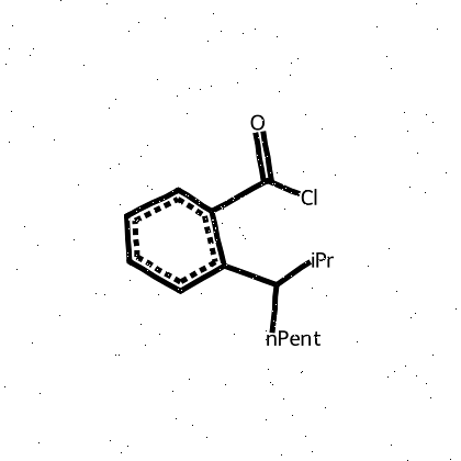 CCCCCC(c1ccccc1C(=O)Cl)C(C)C